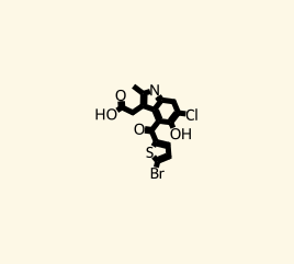 CC1=C(CC(=O)O)C2=C(C(=O)c3ccc(Br)s3)C(O)=C(Cl)CC2=N1